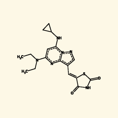 CCN(CC)c1cc(NC2CC2)n2ncc(C=C3SC(=O)NC3=O)c2n1